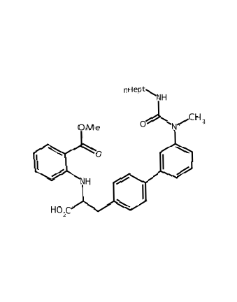 CCCCCCCNC(=O)N(C)c1cccc(-c2ccc(CC(Nc3ccccc3C(=O)OC)C(=O)O)cc2)c1